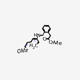 C=C/C(=C\C/C=C\OC)NCc1ccccc1CC(=O)OC